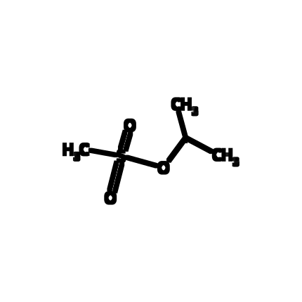 C[C](C)OS(C)(=O)=O